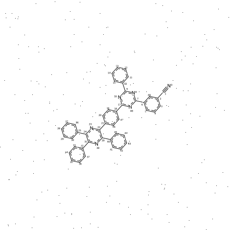 N#Cc1cccc(-c2nc(-c3ccccc3)nc(-c3ccc(-c4nc(-c5ccccc5)c(-c5ccccc5)nc4-c4ccccc4)cc3)n2)c1